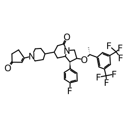 C[C@@H](OC1CN2C(=O)CC(C3CCN(C4=CC(=O)CC4)CC3)CC2[C@@H]1c1ccc(F)cc1)c1cc(C(F)(F)F)cc(C(F)(F)F)c1